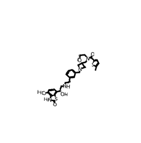 Cc1ccc(C(=O)N2CCOC3(CN(Cc4cccc(CCNC[C@H](O)c5ccc(O)c6[nH]c(=O)sc56)c4)C3)C2)s1